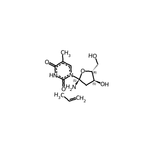 C=CC.Cc1cn([C@@]2(N)C[C@H](O)[C@@H](CO)O2)c(=O)[nH]c1=O